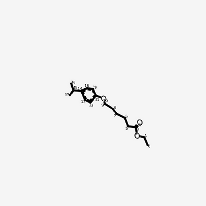 CCOC(=O)CCCCCOc1ccc(C(C)C)cc1